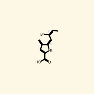 C=c1cc(C(=O)O)[nH]/c1=C/C(Br)=C\C